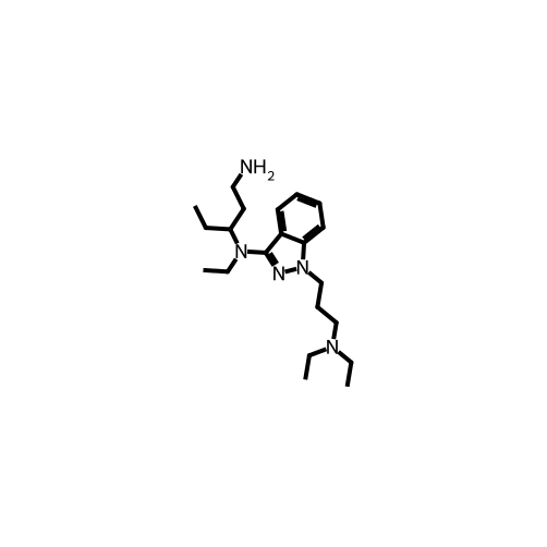 CCC(CCN)N(CC)c1nn(CCCN(CC)CC)c2ccccc12